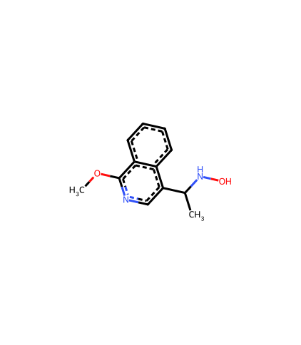 COc1ncc(C(C)NO)c2ccccc12